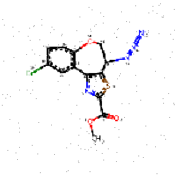 COC(=O)c1nc2c(s1)C(N=[N+]=[N-])COc1ccc(Br)cc1-2